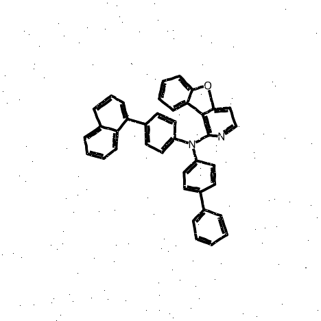 c1ccc(-c2ccc(N(c3ccc(-c4cccc5ccccc45)cc3)c3nccc4oc5ccccc5c34)cc2)cc1